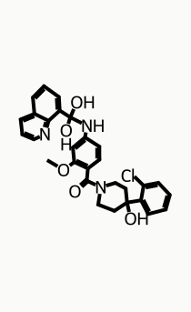 COc1cc(NC(O)(O)c2cccc3cccnc23)ccc1C(=O)N1CCC(O)(c2ccccc2Cl)CC1